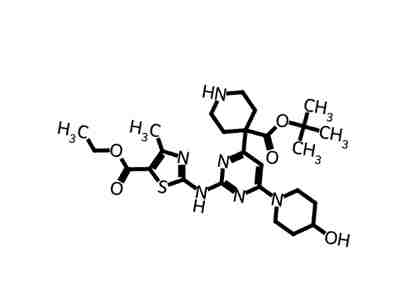 CCOC(=O)c1sc(Nc2nc(N3CCC(O)CC3)cc(C3(C(=O)OC(C)(C)C)CCNCC3)n2)nc1C